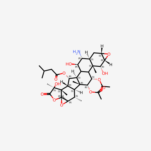 CC(=O)O[C@H]1C2C([C@@H](O)[C@H](N)[C@H]3C[C@@H]4O[C@@H]4[C@H](O)[C@]23C)[C@@H]2[C@@H](OC(=O)CC(C)C)[C@@H]3[C@H]([C@H](C)[C@H]4O[C@]45OC(=O)[C@@](C)(O)[C@]35C)[C@@]2(C)[C@H]1OC(C)=O